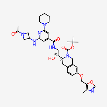 CC(=O)N1CC(Nc2cc(C(=O)NC[C@@H](O)[C@@H]3Cc4ccc(OCc5ocnc5C)cc4CN3C(=O)OC(C)(C)C)cc(N3CCCCC3)n2)C1